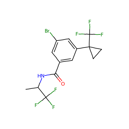 CC(NC(=O)c1cc(Br)cc(C2(C(F)(F)F)CC2)c1)C(F)(F)F